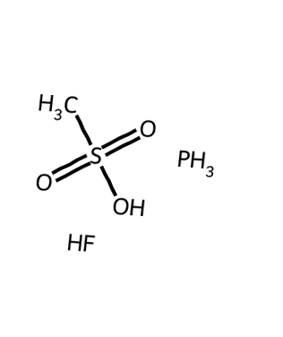 CS(=O)(=O)O.F.P